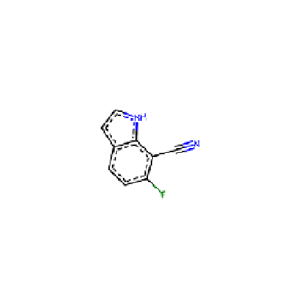 N#Cc1c(F)ccc2cc[nH]c12